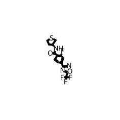 O=C(NC1CCSC1)c1ccc(-c2noc(C(F)(F)F)n2)cc1F